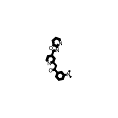 CN(C)c1cccc(C(=O)Cc2cc(-c3nc4ncccc4o3)ccn2)c1